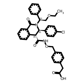 CCOC[C@H](c1ccccc1)N1C(=O)c2ccccc2[C@@H](C(=O)NOCc2ccc(CC(=O)O)cc2)[C@@H]1c1ccc(Cl)cc1